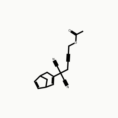 CC(=O)OCC#CCC(C#N)(C#N)C1=CC2C=CC(C1)C2